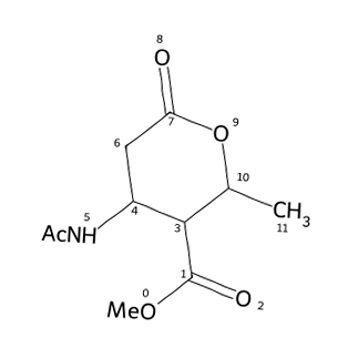 COC(=O)C1C(NC(C)=O)CC(=O)OC1C